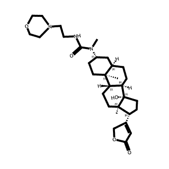 CN(C(=O)NCCN1CCOCC1)[C@H]1CC[C@@]2(C)[C@H](CC[C@@H]3[C@@H]2CC[C@]2(C)[C@@H](C4=CC(=O)OC4)CC[C@]32O)C1